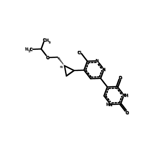 CC(C)OC[C@H]1CC1c1cc(-c2c[nH]c(=O)[nH]c2=O)nnc1Cl